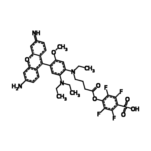 CCN(CC)c1cc(-c2c3ccc(=N)cc-3oc3cc(N)ccc23)c(OC)cc1N(CC)CCCC(=O)Oc1c(F)c(F)c(S(=O)(=O)O)c(F)c1F